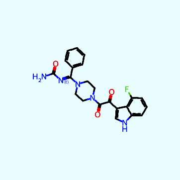 NC(=O)/N=C(\c1ccccc1)N1CCN(C(=O)C(=O)c2c[nH]c3cccc(F)c23)CC1